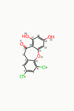 O=C1Cc2cc(Cl)cc(Cl)c2Oc2cc(O)cc(O)c21